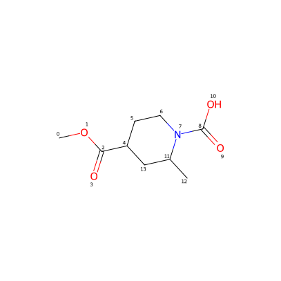 COC(=O)C1CCN(C(=O)O)C(C)C1